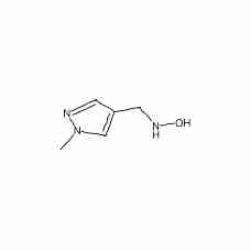 Cn1cc(CNO)cn1